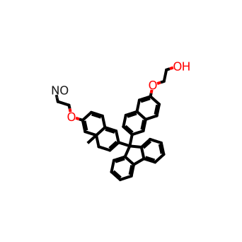 CC12C=C(OCCN=O)C=CC1=CC(C1(c3ccc4cc(OCCO)ccc4c3)c3ccccc3-c3ccccc31)=CC2